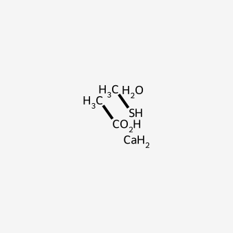 CC(=O)O.CS.O.[CaH2]